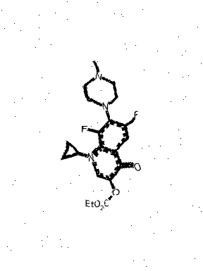 CCOC(=O)Oc1cn(C2CC2)c2c(F)c(N3CCN(C)CC3)c(F)cc2c1=O